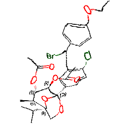 CCOc1ccc(C(Br)c2cc([C@]34OC[C@](C(C)C)(O3)[C@@H](C)[C@H](OC(C)=O)[C@H]4OC(C)=O)ccc2Cl)cc1